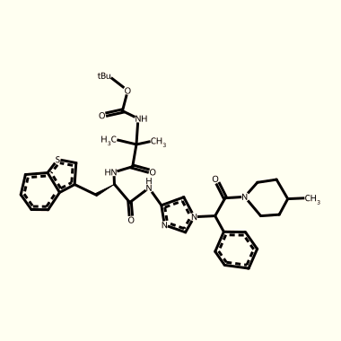 CC1CCN(C(=O)C(c2ccccc2)n2cnc(NC(=O)[C@@H](Cc3csc4ccccc34)NC(=O)C(C)(C)NC(=O)OC(C)(C)C)c2)CC1